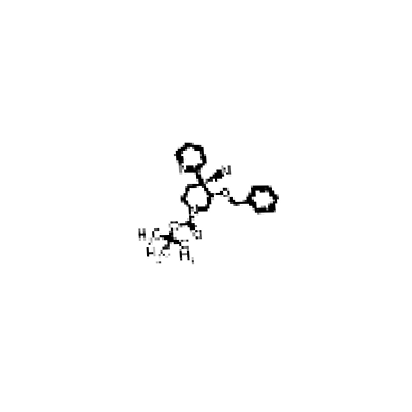 CC(C)(C)OC(=O)N1CC[C@](C#N)(c2ccccn2)[C@@H](OCc2ccccc2)C1